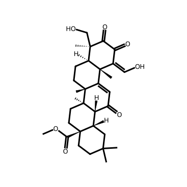 COC(=O)[C@]12CCC(C)(C)C[C@H]1[C@H]1C(=O)C=C3[C@@]4(C)/C(=C/O)C(=O)C(=O)[C@](C)(CO)[C@@H]4CC[C@@]3(C)[C@]1(C)CC2